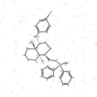 CC(C)(C)[Si](OC[C@@H]1CC[C@@H](Nc2ccc(F)cc2)[C@@]2(O)CCCO[C@H]12)(c1ccccc1)c1ccccc1